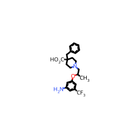 CC(CN1CCC(Cc2ccccc2)(C(=O)O)CC1)Oc1cc(N)cc(C(F)(F)F)c1